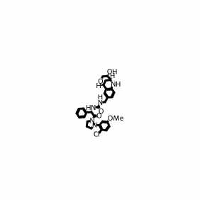 COc1ccc(Cl)c(N2CCCN2C(=O)[C@@H](NC(=O)NCc2ccc3c(c2)[C@H]2C[C@@H](N3)[C@H](O)CO2)c2ccccc2)c1